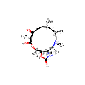 CC[C@H]1OC(=O)[C@H](C)C(=O)CC[C@H](OC)C[C@@H](C)CN(C)[C@H](C)[C@H]2NC(=O)O[C@@]21C